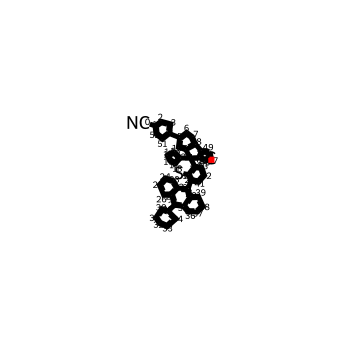 N#Cc1ccc(-c2ccc3c(c2)C2(c4ccccc4Sc4c(-c5c6ccccc6c(-c6ccccc6)c6ccccc56)cccc42)c2ccccc2-3)cc1